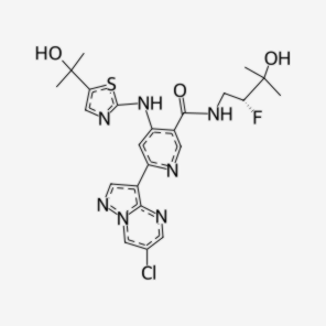 CC(C)(O)c1cnc(Nc2cc(-c3cnn4cc(Cl)cnc34)ncc2C(=O)NC[C@@H](F)C(C)(C)O)s1